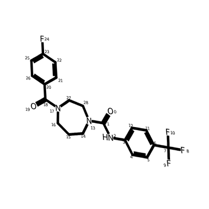 O=C(Nc1ccc(C(F)(F)F)cc1)N1CCCN(C(=O)c2ccc(F)cc2)CC1